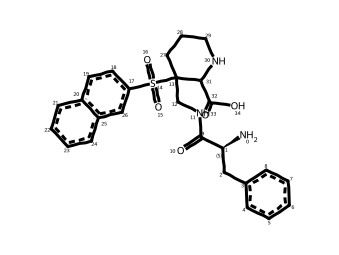 N[C@@H](Cc1ccccc1)C(=O)NCC1(S(=O)(=O)c2ccc3ccccc3c2)CCCNC1C(=O)O